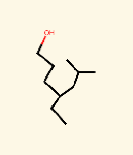 CCC(CCCO)CC(C)C